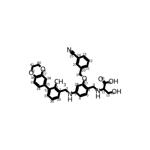 Cc1c(CNc2ccc(CNC(CO)C(=O)O)c(OCc3cccc(C#N)c3)c2)cccc1-c1ccc2c(c1)OCCO2